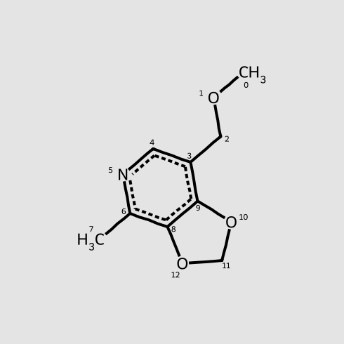 COCc1cnc(C)c2c1OCO2